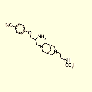 N#Cc1ccc(OCC(N)CN2CC3CC(CN(CCNC(=O)O)C3)C2)cc1